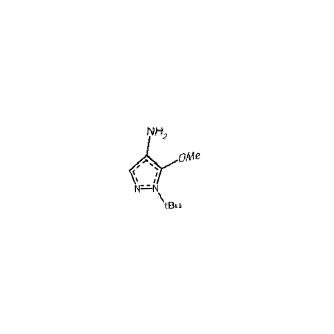 COc1c(N)cnn1C(C)(C)C